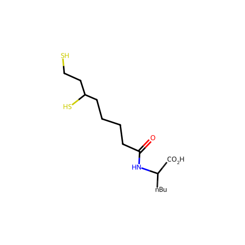 CCCCC(NC(=O)CCCCC(S)CCS)C(=O)O